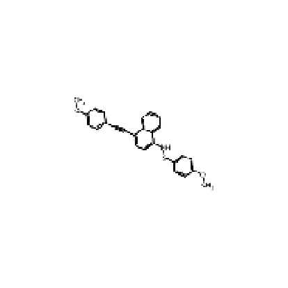 COc1ccc(C#Cc2ccc(NSc3ccc(OC)cc3)c3ccccc23)cc1